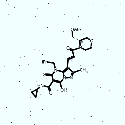 COC[C@@H]1COCCN1C(=O)/C=C/c1c(C)nn2c(O)c(C(=O)NC3CC3)c(=O)n(CC(C)C)c12